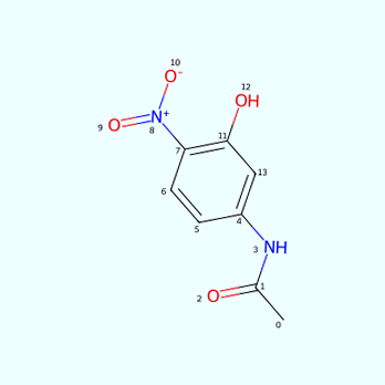 CC(=O)Nc1ccc([N+](=O)[O-])c(O)c1